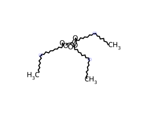 CCCCCCCC/C=C\CCCCCCCCCC(=O)OC[C@@H](COC(=O)CCCCCCC/C=C\CCCCCCCC)OC(=O)CCCCCCC/C=C\CCCCCCCC